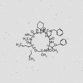 C=CCC[C@H]1OC[C@@H](C)NC(=O)[C@H]([C@H](C)OCc2ccccc2)NC(=O)[C@H](CN(Cc2ccccc2)C(=O)O)NC(=O)[C@H](C2CCCCC2)NC(=O)[C@H](CCC)N(C)C(=O)[C@@H]1CCC=C